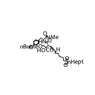 CCCCCCCS(=O)(=O)CCCCCC/C=C/[C@H](C(=O)N[C@@H](Cc1ccc(OCCCC)cc1)C(=O)NC)[C@@](O)(COC)C(=O)O